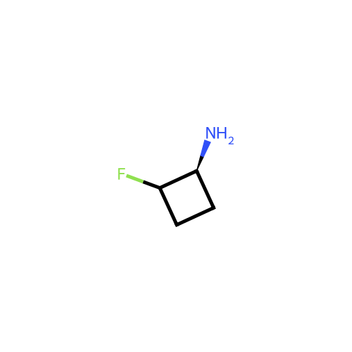 N[C@H]1CCC1F